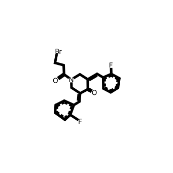 O=C1C(=Cc2ccccc2F)CN(C(=O)CCBr)CC1=Cc1ccccc1F